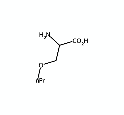 CCCOCC(N)C(=O)O